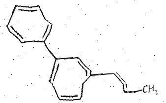 CC=Cc1cccc(-c2ccccc2)c1